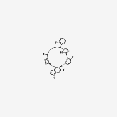 O=C1CCCCC(c2ccccc2F)c2cnc([nH]2)-c2cc(ccc2F)Oc2c(F)cc3[nH]ccc3c2Cn2cc1nn2